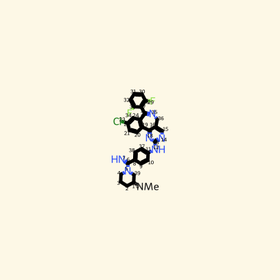 CNC1CCCN(C(=N)c2ccc(Nc3ncc4c(n3)-c3ccc(Cl)cc3C(c3c(F)cccc3F)=NC4)cc2)C1